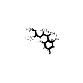 CC(CC(CN)C(=O)O)C(C)c1c(F)cc(F)cc1F